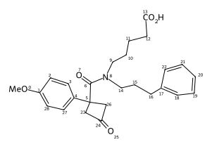 COc1ccc(C2(C(=O)N(CCCCC(=O)O)CCCc3ccccc3)CC(=O)C2)cc1